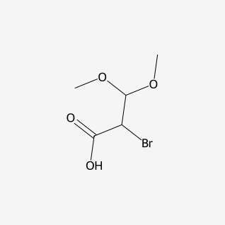 COC(OC)C(Br)C(=O)O